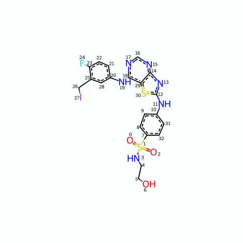 O=S(=O)(NCCO)c1ccc(Nc2nc3ncnc(Nc4ccc(F)c(CI)c4)c3s2)cc1